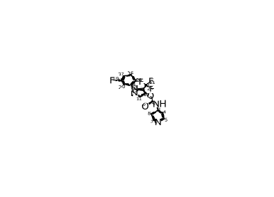 O=C(Nc1ccncc1)Oc1cnn(-c2cccc(F)c2)c1C(F)(F)F